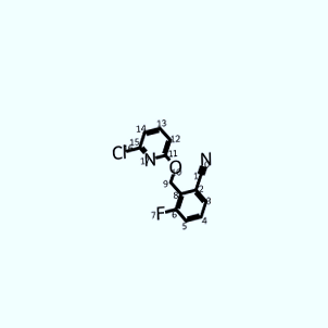 N#Cc1cccc(F)c1COc1cccc(Cl)n1